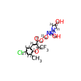 Cc1cc(Cl)cc2c1O[C@H](C(F)(F)F)C(C(=O)OCO/N=[N+](\O)N1CC(O)C1)=C2